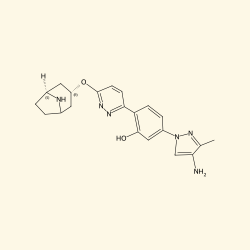 Cc1nn(-c2ccc(-c3ccc(O[C@@H]4CC5CC[C@@H](C4)N5)nn3)c(O)c2)cc1N